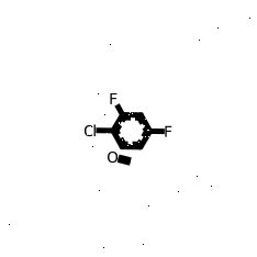 C=O.Fc1ccc(Cl)c(F)c1